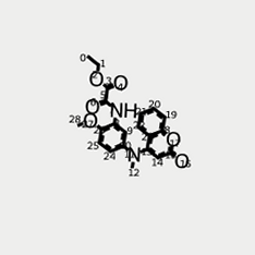 CCOC(=O)C(=O)Nc1cc(N(C)c2cc(=O)oc3ccccc23)ccc1OC